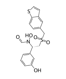 O=CN(O)[C@H](CS(=O)(=O)Cc1ccc2sccc2c1)c1cccc(O)c1